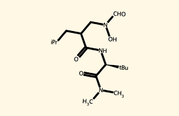 CC(C)CC(CN(O)C=O)C(=O)N[C@H](C(=O)N(C)C)C(C)(C)C